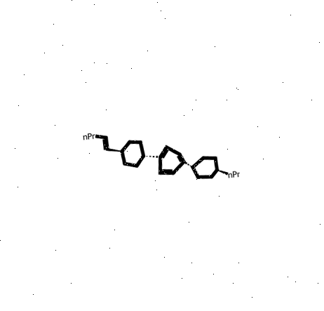 CCCC=C[C@H]1CC[C@H](c2ccc([C@H]3CC[C@H](CCC)CC3)cc2)CC1